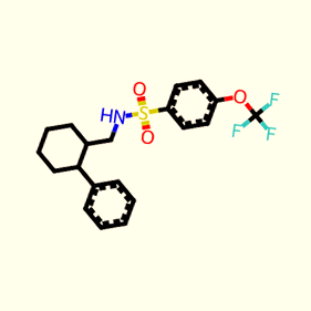 O=S(=O)(NCC1CCCCC1c1ccccc1)c1ccc(OC(F)(F)F)cc1